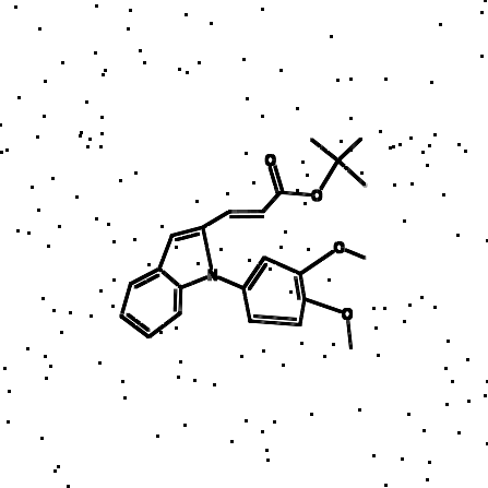 COc1ccc(-n2c(/C=C/C(=O)OC(C)(C)C)cc3ccccc32)cc1OC